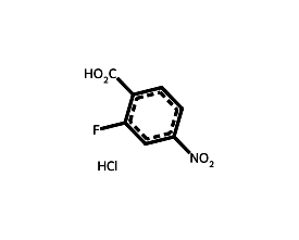 Cl.O=C(O)c1ccc([N+](=O)[O-])cc1F